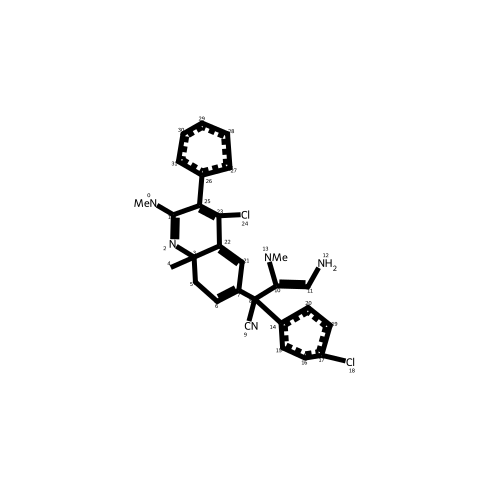 CNC1=NC2(C)CC=C(C(C#N)(/C(=C/N)NC)c3ccc(Cl)cc3)C=C2C(Cl)=C1c1ccccc1